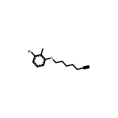 C#CCCCCCOc1cccc(Br)c1C